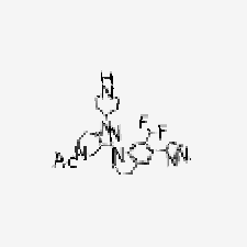 CC(=O)N1CCc2c(c(N3CCCc4cc(-c5ccn(C)n5)c(C(F)F)cc43)nn2C2CCNCC2)C1